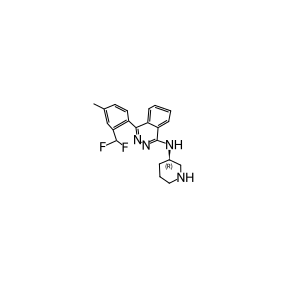 Cc1ccc(-c2nnc(N[C@@H]3CCCNC3)c3ccccc23)c(C(F)F)c1